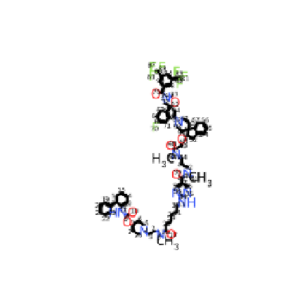 CN(CCN1CCC(OC(=O)Nc2ccccc2-c2ccccc2)CC1)C(=O)CCCCCNc1ncc(C(=O)N(C)CCCN(C)C(=O)CO[C@H]2Cc3ccccc3C23CCN(CC[C@@]2(c4ccc(F)cc4)CN(C(=O)c4cc(C(F)(F)F)cc(C(F)(F)F)c4)CO2)CC3)cn1